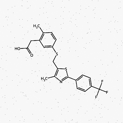 Cc1ccc(SCc2sc(-c3ccc(C(F)(F)F)cc3)nc2C)cc1CC(=O)O